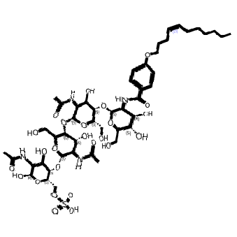 CCCCCC/C=C\CCCOc1ccc(C(=O)NC2[C@H](O[C@H]3C(O)C(NC(C)=O)[C@H](O[C@@H]4C(CO)O[C@@H](O[C@H]5C(O)C(NC(C)=O)[C@H](O)O[C@H]5COS(=O)(=O)O)C(NC(C)=O)[C@H]4O)O[C@H]3CO)OC(CO)[C@@H](O)[C@@H]2O)cc1